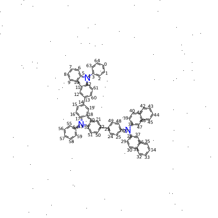 c1ccc(-n2c3ccccc3c3cc(-c4ccc5c(c4)c4cc(-c6ccc(N(c7ccc8ccccc8c7)c7ccc8ccccc8c7)cc6)ccc4n5-c4ccccc4)ccc32)cc1